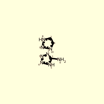 Nc1nnn[nH]1.c1c[nH]nn1